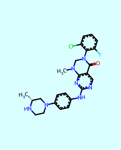 C[C@@H]1CN(c2ccc(Nc3ncc4c(n3)N(C)CN(c3c(F)cccc3Cl)C4=O)cc2)CCN1